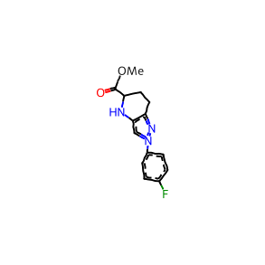 COC(=O)C1CCc2nn(-c3ccc(F)cc3)cc2N1